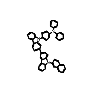 c1ccc(N(c2ccccc2)c2ccc(-n3c4ccccc4c4ccc(-c5ccc6c(c5)c5ccccc5n6-c5ccc6ccccc6c5)cc43)cc2)cc1